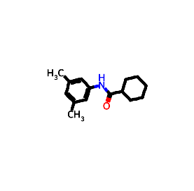 Cc1cc(C)cc(NC(=O)C2CCCCC2)c1